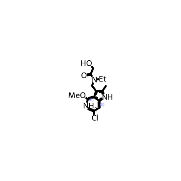 C=C(Cl)/C=c1/[nH]c(C)c(CN(CC)C(=O)CO)/c1=C(/N)OC